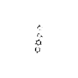 O=C1C=CN(c2c(F)cc(N3C[C@H](Cn4cc(F)nn4)OC3=O)c(F)c2F)CC1